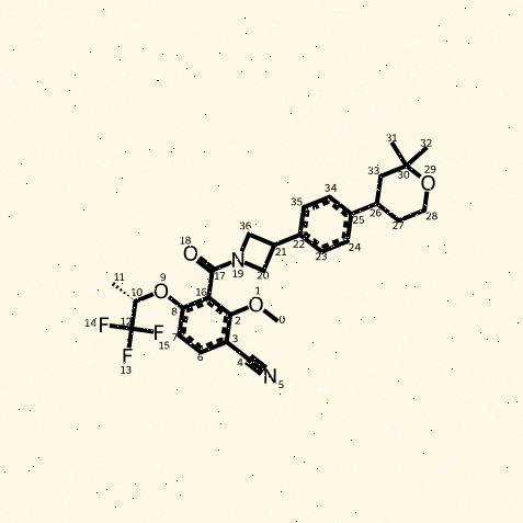 COc1c(C#N)ccc(O[C@@H](C)C(F)(F)F)c1C(=O)N1CC(c2ccc(C3CCOC(C)(C)C3)cc2)C1